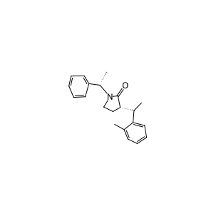 Cc1ccccc1C(C)[C@@H]1CCN([C@@H](C)c2ccccc2)C1=O